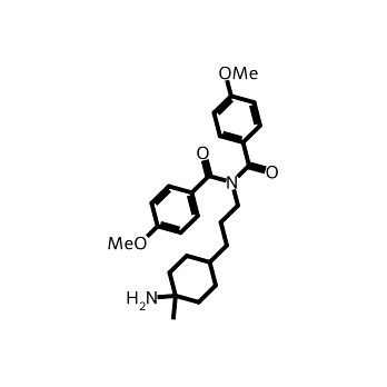 COc1ccc(C(=O)N(CCCC2CCC(C)(N)CC2)C(=O)c2ccc(OC)cc2)cc1